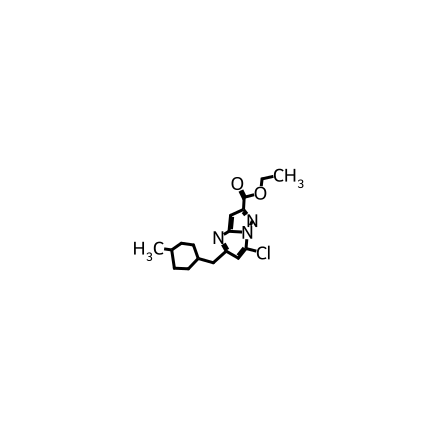 CCOC(=O)c1cc2nc(CC3CCC(C)CC3)cc(Cl)n2n1